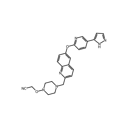 N#CCON1CCN(Cc2ccc3cc(Oc4ccc(-c5ccn[nH]5)cn4)ccc3n2)CC1